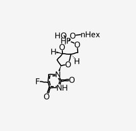 CCCCCCO[PH]1(O)OC[C@H]2O[C@@H](n3cc(F)c(=O)[nH]c3=O)C[C@@H]2O1